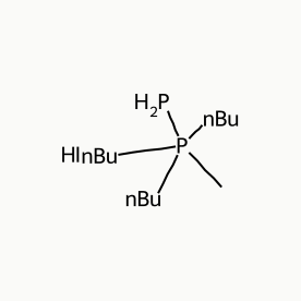 CCCCP(C)(P)(CCCC)CCCC.I